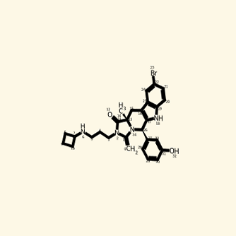 C=C1N(CCCNC2CCC2)C(=O)[C@]2(C)Cc3c([nH]c4ccc(Br)cc34)[C@@H](c3cccc(O)c3)N12